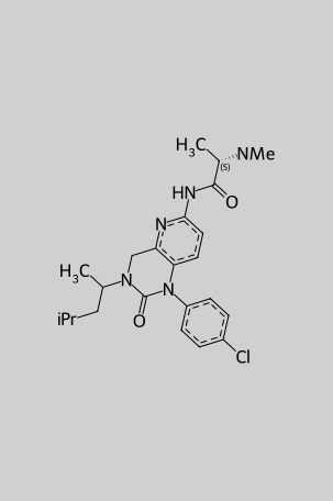 CN[C@@H](C)C(=O)Nc1ccc2c(n1)CN(C(C)CC(C)C)C(=O)N2c1ccc(Cl)cc1